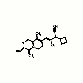 C#CC(/C(=C/C1=C(C)C(CC(C)C)N(C(=C)OC(C)(C)C)CC1)C(C)CC)C1CCC1